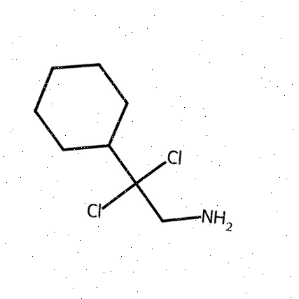 NCC(Cl)(Cl)C1CCCCC1